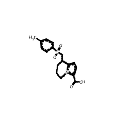 Cc1ccc(S(=O)(=O)CC2CCCn3c(C(=O)O)ccc32)cc1